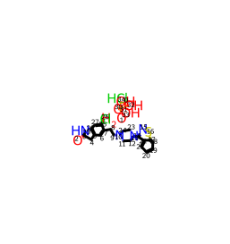 Cl.O.O=C1Cc2cc(CCN3CCN(c4nsc5ccccc45)CC3)c(Cl)cc2N1.O=P(O)(O)O